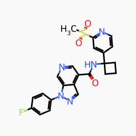 CS(=O)(=O)c1cc(C2(NC(=O)c3cncc4c3cnn4-c3ccc(F)cc3)CCC2)ccn1